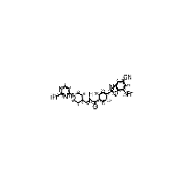 CC(C)c1nccc(N2CCC(CNC(=O)c3ccc(-c4nc5cc(C#N)cc(C(C)C)c5o4)cc3)CC2)n1